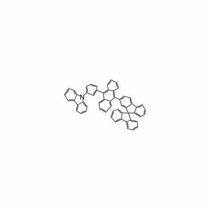 c1cc(-c2c3ccccc3c(-c3ccc4c(c3)C3(c5ccccc5-c5ccccc53)c3ccccc3-4)c3ccccc23)cc(-n2c3ccccc3c3ccccc32)c1